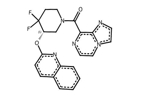 O=C(c1nccn2ccnc12)N1CCC(F)(F)[C@@H](Oc2ccc3ccccc3n2)C1